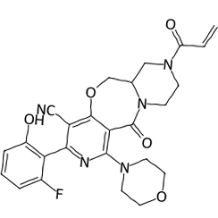 C=CC(=O)N1CCN2C(=O)c3c(N4CCOCC4)nc(-c4c(O)cccc4F)c(C#N)c3OCC2C1